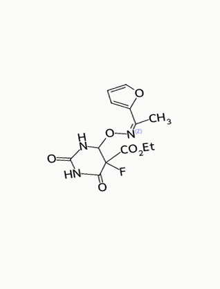 CCOC(=O)C1(F)C(=O)NC(=O)NC1O/N=C(/C)c1ccco1